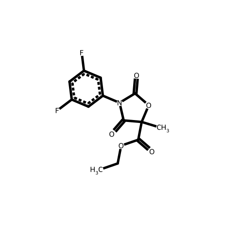 CCOC(=O)C1(C)OC(=O)N(c2cc(F)cc(F)c2)C1=O